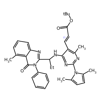 CCC(Nc1nc(-n2c(C)ccc2C)nc(C)c1/C=C/C(=O)OC(C)(C)C)c1nc2cccc(C)c2c(=O)n1-c1ccccc1